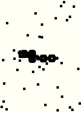 CC1CCC(c2ccc(/C=C/C(=O)OC(C)(C)C)cc2)CC1